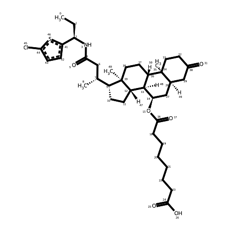 CC[C@@H](NC(=O)C[C@@H](C)[C@H]1CC[C@H]2[C@@H]3[C@H](OC(=O)CCCCCCC(=O)O)C[C@@H]4CC(=O)CC[C@]4(C)[C@H]3CC[C@]12C)c1ccc(Cl)s1